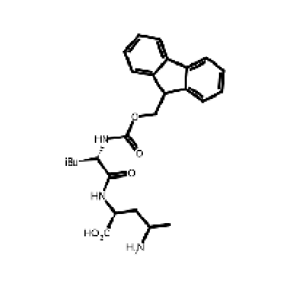 CC[C@H](C)[C@H](NC(=O)OCC1c2ccccc2-c2ccccc21)C(=O)N[C@@H](CC(C)N)C(=O)O